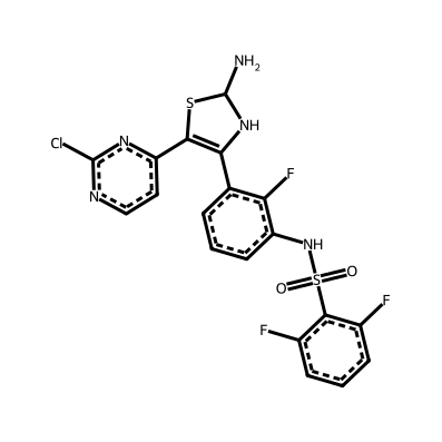 NC1NC(c2cccc(NS(=O)(=O)c3c(F)cccc3F)c2F)=C(c2ccnc(Cl)n2)S1